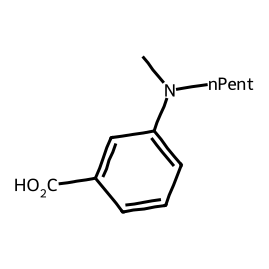 CCCCCN(C)c1cccc(C(=O)O)c1